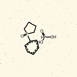 O=P1(c2ccccc2)CCCC1.O=[PH](O)O